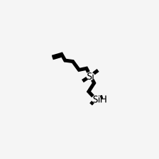 C=CCCCC[Si](C)(C)CC[SiH](C)C